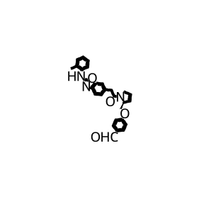 Cc1ccccc1Nc1nc2ccc(CC(=O)N3CC=C[C@H]3COc3ccc(C=O)cc3)cc2o1